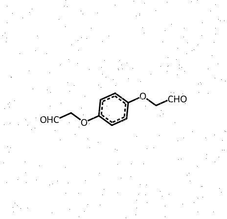 O=CCOc1ccc(OCC=O)cc1